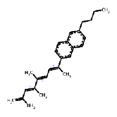 C=C(N)/C=C(C)/C(C)=C/C=C(\C)c1ccc2cc(CCCC)ccc2c1